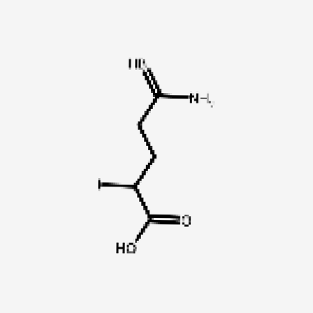 B=C(N)CCC(I)C(=O)O